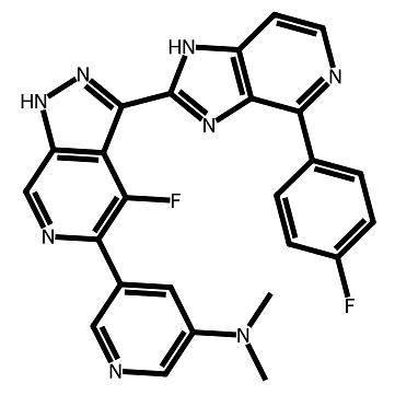 CN(C)c1cncc(-c2ncc3[nH]nc(-c4nc5c(-c6ccc(F)cc6)nccc5[nH]4)c3c2F)c1